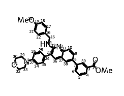 COC(=O)c1cccc(-c2ccc3nc(NCc4ccc(OC)cc4)c(-c4ccc(N5CCOCC5)cc4)cc3c2)c1